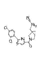 N#CNCC12CC1CN(C(=O)c1csc(-c3ccc(Cl)cc3Cl)n1)C2